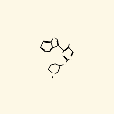 O=CN1CCCC(Nc2ncc(Cl)c(-c3c[nH]c4ccccc34)n2)C1